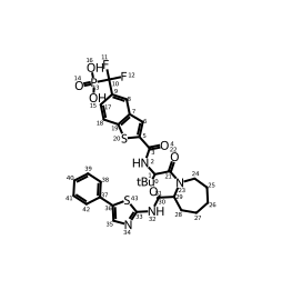 CC(C)(C)C(NC(=O)c1cc2cc(C(F)(F)P(=O)(O)O)ccc2s1)C(=O)N1CCCCCC1C(=O)Nc1ncc(-c2ccccc2)s1